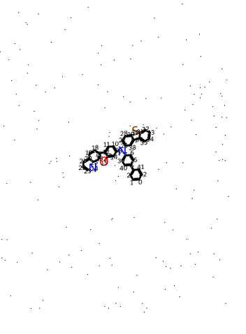 c1ccc(-c2ccc(N(c3ccc4c(c3)oc3c4ccc4cccnc43)c3ccc4sc5ccccc5c4c3)cc2)cc1